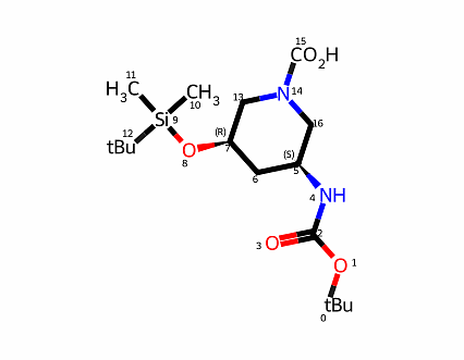 CC(C)(C)OC(=O)N[C@H]1C[C@@H](O[Si](C)(C)C(C)(C)C)CN(C(=O)O)C1